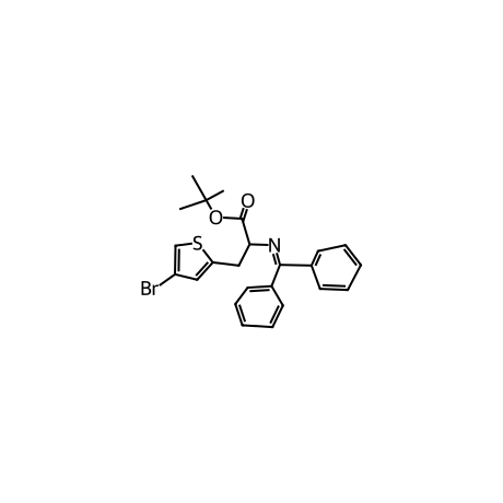 CC(C)(C)OC(=O)C(Cc1cc(Br)cs1)N=C(c1ccccc1)c1ccccc1